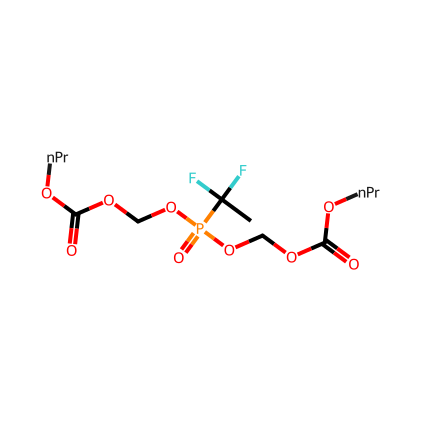 CCCOC(=O)OCOP(=O)(OCOC(=O)OCCC)C(C)(F)F